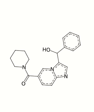 O=C(c1ccc2ncc(C(O)c3ccccc3)n2c1)N1CCCCC1